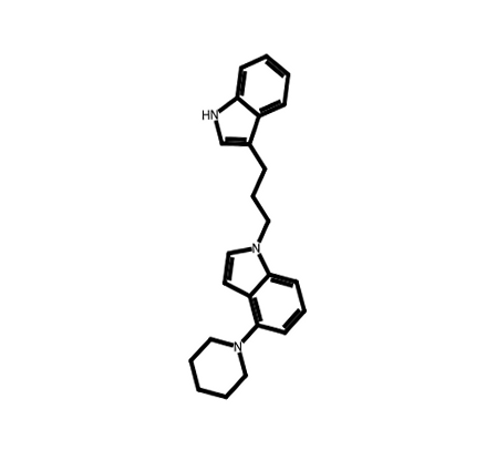 c1ccc2c(CCCn3ccc4c(N5CCCCC5)cccc43)c[nH]c2c1